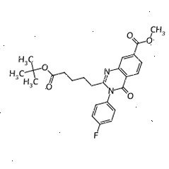 COC(=O)c1ccc2c(=O)n(-c3ccc(F)cc3)c(CCCCC(=O)OC(C)(C)C)nc2c1